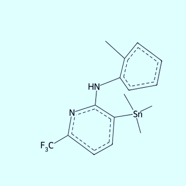 Cc1ccccc1Nc1nc(C(F)(F)F)cc[c]1[Sn]([CH3])([CH3])[CH3]